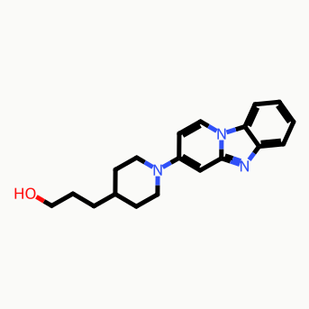 OCCCC1CCN(c2ccn3c(c2)nc2ccccc23)CC1